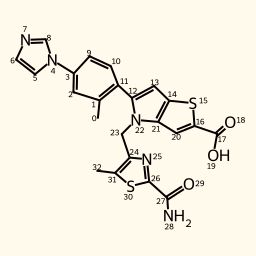 Cc1cc(-n2ccnc2)ccc1-c1cc2sc(C(=O)O)cc2n1Cc1nc(C(N)=O)sc1C